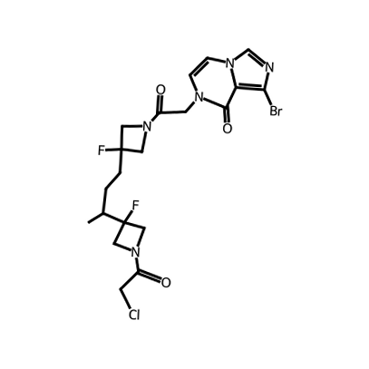 CC(CCC1(F)CN(C(=O)Cn2ccn3cnc(Br)c3c2=O)C1)C1(F)CN(C(=O)CCl)C1